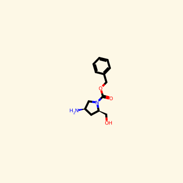 N[C@@H]1C[C@H](CO)N(C(=O)OCc2ccccc2)C1